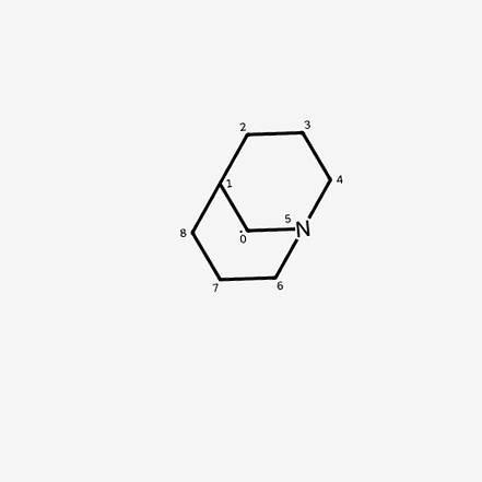 [CH]1C2CCCN1CCC2